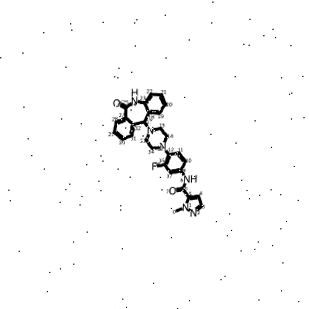 Cn1nccc1C(=O)Nc1ccc(N2CCN(C3c4ccccc4NC(=O)c4ccccc43)CC2)c(F)c1